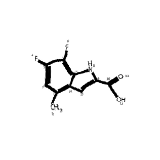 Cc1cc(F)c(F)c2[nH]c(C(=O)O)cc12